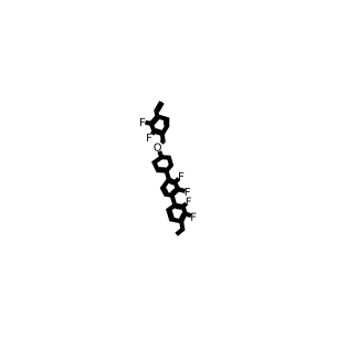 C=Cc1ccc(COC2CC=C(c3ccc(-c4ccc(CC)c(F)c4F)c(F)c3F)CC2)c(F)c1F